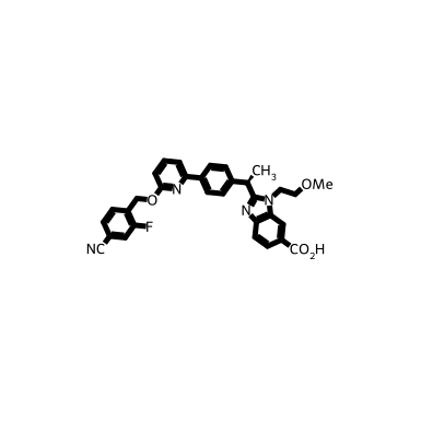 COCCn1c([C@H](C)c2ccc(-c3cccc(OCc4ccc(C#N)cc4F)n3)cc2)nc2ccc(C(=O)O)cc21